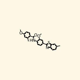 COc1ccc(C(=O)Nc2ccc(-c3nc4ccc(C)cc4s3)cc2OC)c(C)c1